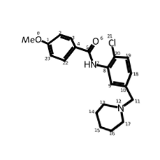 COc1ccc(C(=O)Nc2cc(CN3CCCCC3)ccc2Cl)cc1